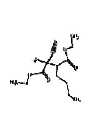 CCCCC(C(=O)OCC)C(C)(C#N)C(=O)OCC